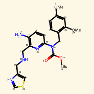 COc1ccc(CN(C(=O)OC(C)(C)C)c2ccc(N)c(CNCc3cscn3)n2)c(OC)c1